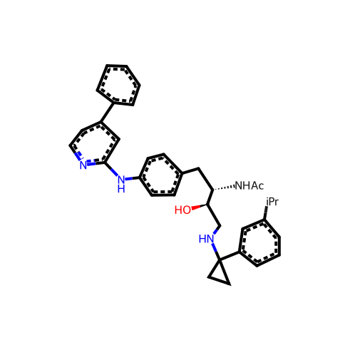 CC(=O)N[C@@H](Cc1ccc(Nc2cc(-c3ccccc3)ccn2)cc1)[C@H](O)CNC1(c2cccc(C(C)C)c2)CC1